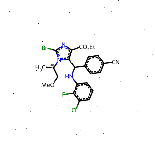 CCOC(=O)c1nc(Br)n([C@H](C)COC)c1C(Nc1cccc(Cl)c1F)c1ccc(C#N)cc1